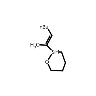 CCCC/C=C(\C)[SiH]1CCCCO1